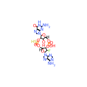 Nc1nc2c(ncn2[C@@H]2O[C@@H]3COP(=O)(O)OC4C(F)[C@H](n5cnc6c(N)ncnc65)O[C@@H]4CO[P@](=O)(S)OC2C3O)c(=O)[nH]1